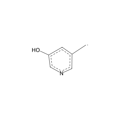 [CH2]c1cncc(O)c1